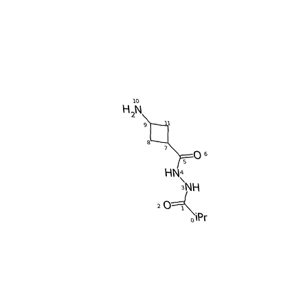 CC(C)C(=O)NNC(=O)C1CC(N)C1